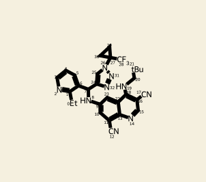 CCc1ncccc1C(Nc1cc(C#N)c2ncc(C#N)c(NCC(C)(C)C)c2c1)c1cn(C2(C(F)(F)F)CC2)nn1